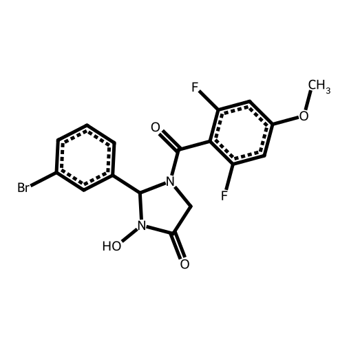 COc1cc(F)c(C(=O)N2CC(=O)N(O)C2c2cccc(Br)c2)c(F)c1